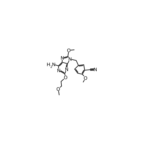 COCCOc1nc(N)c2nc(OC)n(Cc3ccc(OC)c(C#N)c3)c2n1